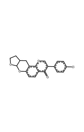 O=c1c(-c2ccc(Cl)cc2)coc2c3c(ccc12)OC1OCCC1C3